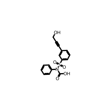 O=C(O)N(c1ccccc1)S(=O)(=O)c1cccc(C#CCO)c1